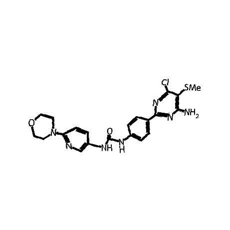 CSc1c(N)nc(-c2ccc(NC(=O)Nc3ccc(N4CCOCC4)nc3)cc2)nc1Cl